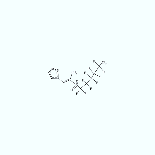 C/C(=C\c1cccs1)S(=O)(=O)C(F)(F)C(F)(F)C(F)(F)C(F)(F)C(F)(F)C(F)(F)F